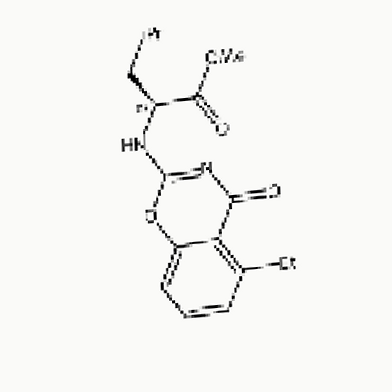 CCc1cccc2oc(N[C@@H](CC(C)C)C(=O)OC)nc(=O)c12